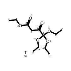 CCOC(=O)CC(=O)C(OCC)(OCC)OCC.[Ti]